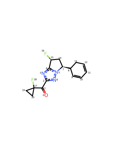 O=C(c1nc2n(n1)[C@H](C1C=CC=CC1)C[C@@H]2F)C1(F)CC1